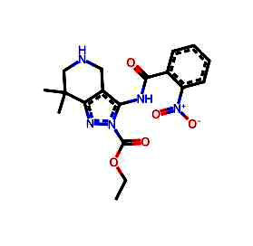 CCOC(=O)n1nc2c(c1NC(=O)c1ccccc1[N+](=O)[O-])CNCC2(C)C